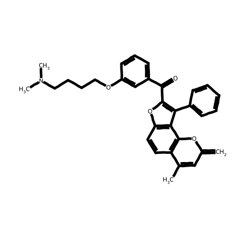 C=C1C=C(C)c2ccc3oc(C(=O)c4cccc(OCCCCN(C)C)c4)c(-c4ccccc4)c3c2O1